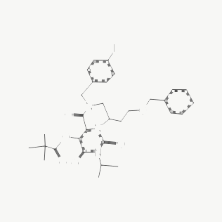 CC(C)n1c(=O)c(OC(=O)C(C)(C)C)c2n(c1=O)C(CCOCc1ccccc1)CN(Cc1ccc(F)cc1)C2=O